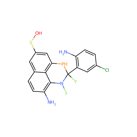 Nc1ccc(Cl)cc1C1(F)Pc2cc(SO)cc3ccc(N)c(c23)N1F